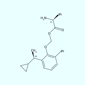 CC(C)c1cccc([C@H](C)C2CC2)c1OCOC(=O)[C@@H](N)C(C)C